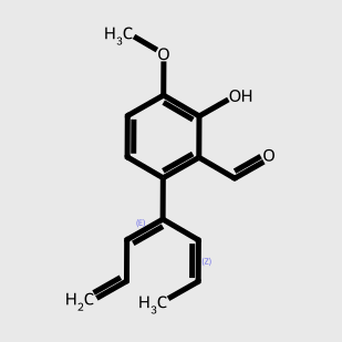 C=C/C=C(\C=C/C)c1ccc(OC)c(O)c1C=O